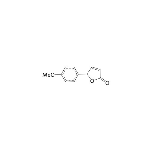 COc1ccc(C2C=CC(=O)O2)cc1